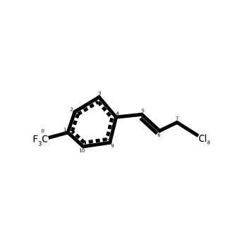 FC(F)(F)c1ccc(C=CCCl)cc1